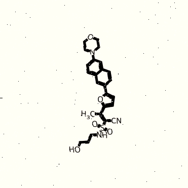 C/C(=C(/C#N)S(=O)(=O)NCCCO)c1ccc(-c2ccc3cc(N4CCOCC4)ccc3c2)o1